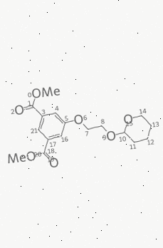 COC(=O)c1cc(OCCOC2CCCCO2)cc(C(=O)OC)c1